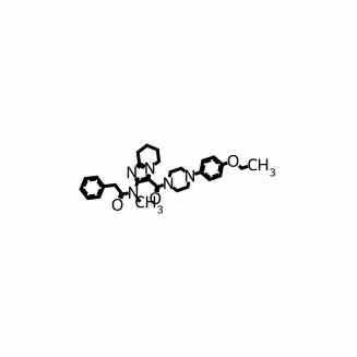 CCOc1ccc(N2CCN(C(=O)c3c(N(C)C(=O)Cc4ccccc4)nc4n3CCCC4)CC2)cc1